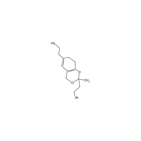 CC(C)CCC1(C)OCC2=C(CCC(CCS)=C2)O1